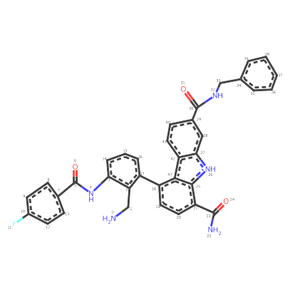 NCc1c(NC(=O)c2ccc(F)cc2)cccc1-c1ccc(C(N)=O)c2[nH]c3cc(C(=O)NCc4ccccc4)ccc3c12